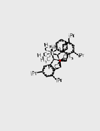 CC1=Cc2c(C(C)C)cc(C(C)C)cc2[CH]1[Ti]([CH3])([CH3])([CH3])(=[SiH2])([c]1ccccc1)[CH]1C(C)=Cc2c(C(C)C)cc(C(C)C)cc21